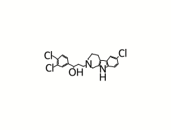 OC(CCN1CCCc2c([nH]c3ccc(Cl)cc23)C1)c1ccc(Cl)c(Cl)c1